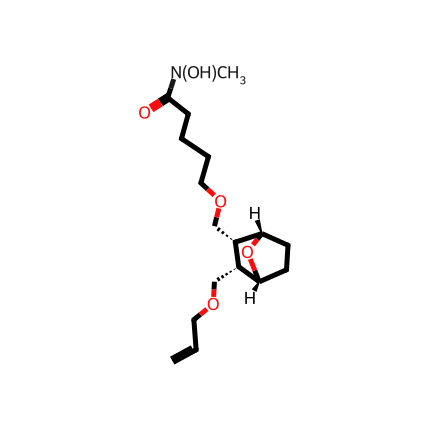 C=CCOC[C@@H]1[C@H](COCCCCC(=O)N(C)O)[C@@H]2CC[C@H]1O2